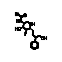 CCC(=O)N[C@H]1CN[C@H](CCC(CO)c2ccccc2)[C@H](F)[C@@H]1O